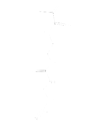 C=C(C)C(=O)OCCOC(=O)NCOC#N